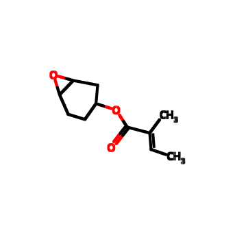 C/C=C(\C)C(=O)OC1CCC2OC2C1